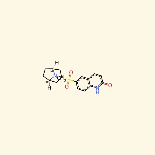 CN1[C@@H]2CC[C@H]1C[C@H](S(=O)(=O)c1ccc3[nH]c(=O)ccc3c1)C2